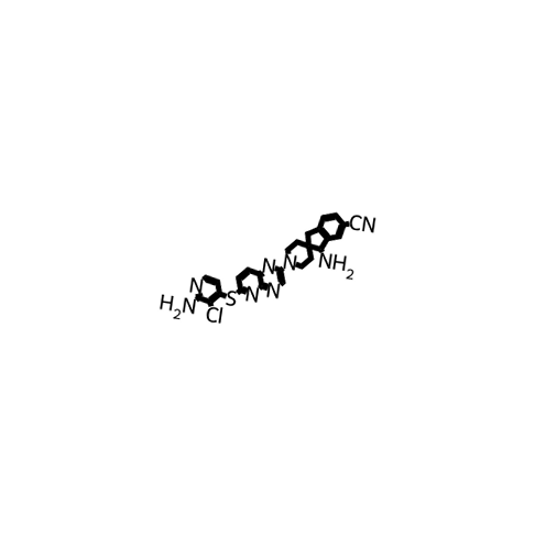 N#Cc1ccc2c(c1)C(N)C1(CCN(c3cnc4nc(Sc5ccnc(N)c5Cl)ccc4n3)CC1)C2